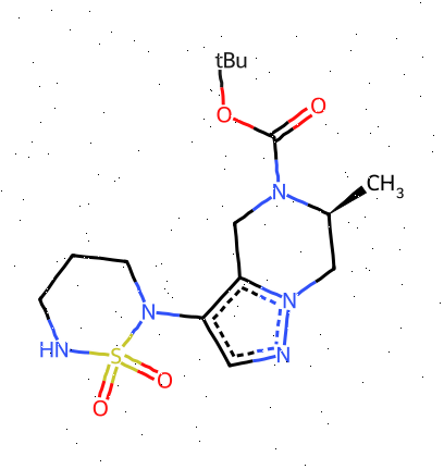 C[C@H]1Cn2ncc(N3CCCNS3(=O)=O)c2CN1C(=O)OC(C)(C)C